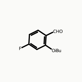 CC(C)COc1cc(F)ccc1C=O